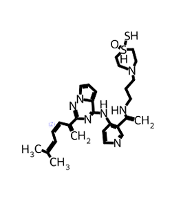 C=C(/C=C\C=C(C)C)c1nc(Nc2ccncc2C(=C)NCCCN2CC[SH](=O)(S)CC2)c2cccn2n1